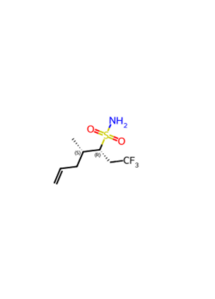 C=CC[C@H](C)[C@@H](CC(F)(F)F)S(N)(=O)=O